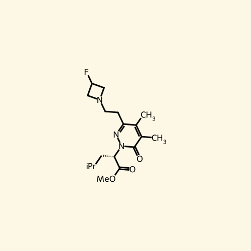 COC(=O)[C@H](CC(C)C)n1nc(CCN2CC(F)C2)c(C)c(C)c1=O